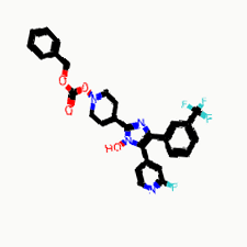 O=C(OCc1ccccc1)ON1CCC(c2nc(-c3cccc(C(F)(F)F)c3)c(-c3ccnc(F)c3)n2O)CC1